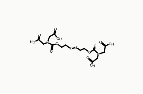 O=C(O)CN(CC(=O)O)C(=O)OCCSSCCOC(=O)N(CC(=O)O)CC(=O)O